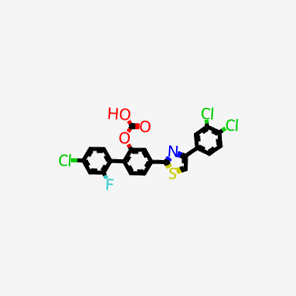 O=C(O)Oc1cc(-c2nc(-c3ccc(Cl)c(Cl)c3)cs2)ccc1-c1ccc(Cl)cc1F